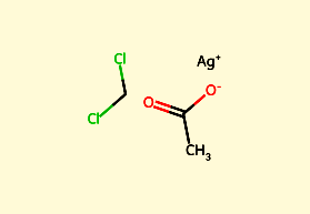 CC(=O)[O-].ClCCl.[Ag+]